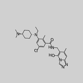 CCN(c1cc(Cl)cc(C(=O)NCc2c(C)cc3nncn3c2O)c1C)[C@H]1CC[C@H](N(C)C)CC1